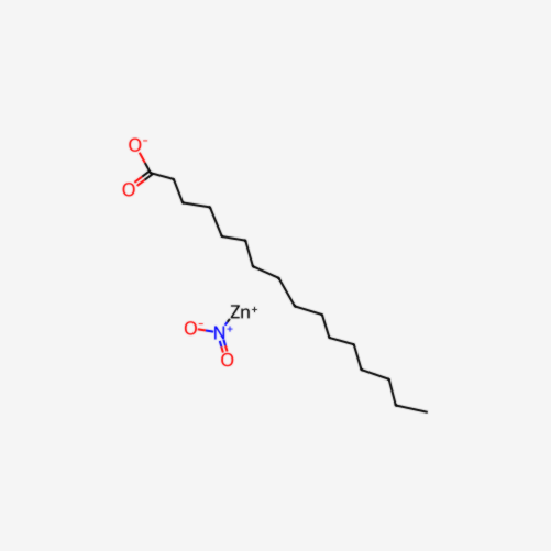 CCCCCCCCCCCCCCCC(=O)[O-].O=[N+]([O-])[Zn+]